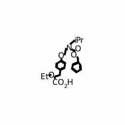 CCOC(Cc1ccc(OCCN(CC(C)C)C(=O)OCc2ccccc2)cc1)C(=O)O